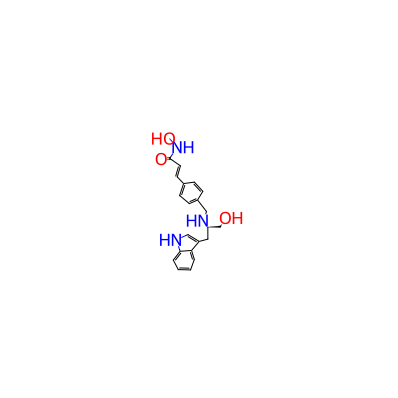 O=C(/C=C/c1ccc(CN[C@@H](CO)Cc2c[nH]c3ccccc23)cc1)NO